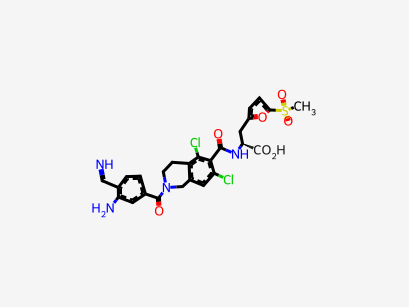 CS(=O)(=O)c1ccc(C[C@H](NC(=O)c2c(Cl)cc3c(c2Cl)CCN(C(=O)c2ccc(C=N)c(N)c2)C3)C(=O)O)o1